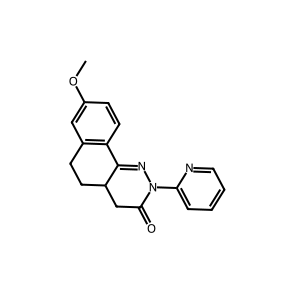 COc1ccc2c(c1)CCC1CC(=O)N(c3ccccn3)N=C21